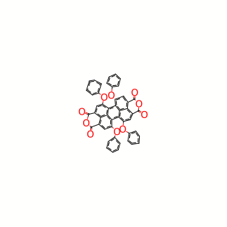 O=C1OC(=O)c2cc(Oc3ccccc3)c3c4c(Oc5ccccc5)cc5c6c(cc(Oc7ccccc7)c(c7c(Oc8ccccc8)cc1c2c73)c64)C(=O)OC5=O